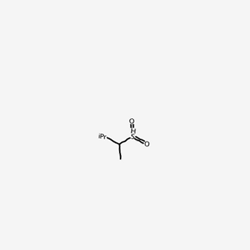 [CH2]C(C)C(C)[SH](=O)=O